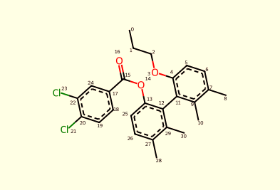 CCCOc1ccc(C)c(C)c1-c1c(OC(=O)c2ccc(Cl)c(Cl)c2)ccc(C)c1C